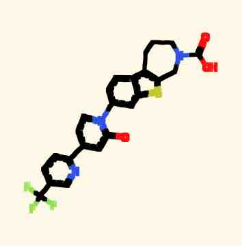 O=C(O)N1CCCc2c(sc3cc(-n4ccc(-c5ccc(C(F)(F)F)cn5)cc4=O)ccc23)C1